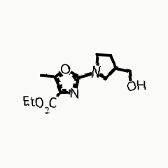 CCOC(=O)c1nc(N2CCC(CO)C2)oc1C